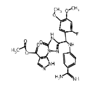 COc1cc(F)c(C(Nc2ccc(C(=N)N)cc2)c2nn(-c3[nH]ncc3C(=O)OC(C)=O)c(=O)[nH]2)cc1OC